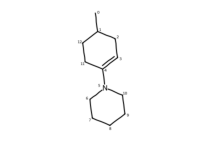 CC1CC=C(N2CCCCC2)CC1